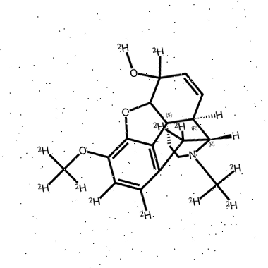 [2H]OC1([2H])C=C[C@H]2[C@@H]3N(C([2H])([2H])[2H])CC[C@@]24c2c(c(OC([2H])([2H])[2H])c([2H])c([2H])c2C3([2H])[2H])OC14